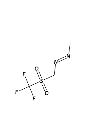 CN=NCS(=O)(=O)C(F)(F)F